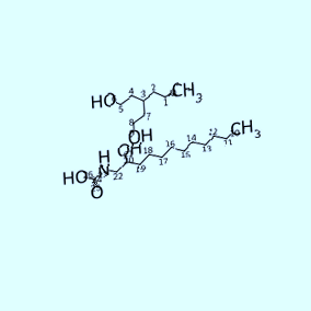 CCCC(CCO)CCO.CCCCCCCCCCC(O)CNC(=O)O